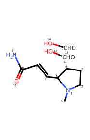 CN1CCCC1C=CC(N)=O.O=CO.O=CO